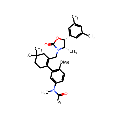 COc1ccc(N(C)C(=O)C(C)C)cc1C1=C(CN2C(=O)O[C@H](c3cc(C)cc(C(F)(F)F)c3)[C@@H]2C)CC(C)(C)CC1